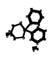 N.N.c1ccc(C2(c3ccccc3)CCCCC2)cc1